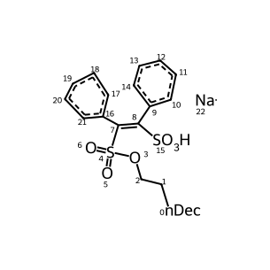 CCCCCCCCCCCCOS(=O)(=O)C(=C(c1ccccc1)S(=O)(=O)O)c1ccccc1.[Na]